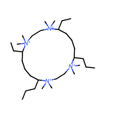 CCCC1CCCC(CC)[N+](C)(C)CC[N+](C)(C)C(CC)CCCC(CCC)[N+](C)(C)CC[N+]1(C)C